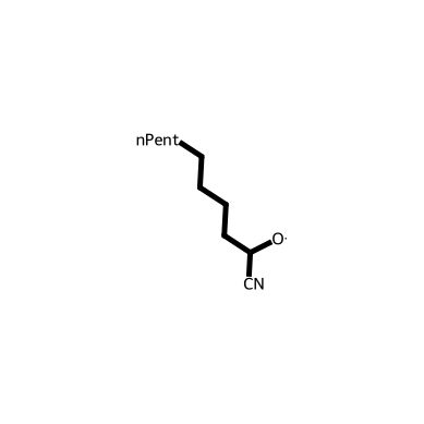 CCCCCCCCCC([O])C#N